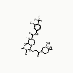 COC(=O)[C@H](CCC(=O)N1CCC2(CC2)[C@H](O)C1)N1CCN(C(=O)Nc2ccc(C(F)(F)F)c(Cl)c2)[C@@H](C)C1=O